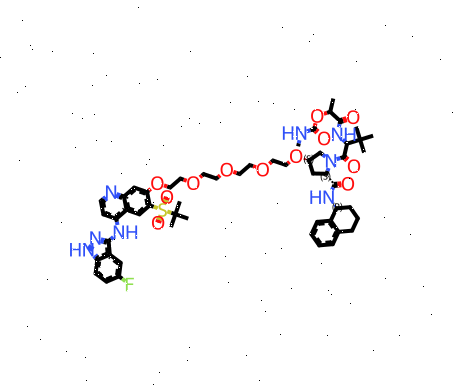 CNC(=O)OC(C)C(=O)NC(C(=O)N1C[C@@H](OCCOCCOCCOCCOc2cc3nccc(Nc4n[nH]c5ccc(F)cc45)c3cc2S(=O)(=O)C(C)(C)C)C[C@H]1C(=O)N[C@@H]1CCCc2ccccc21)C(C)(C)C